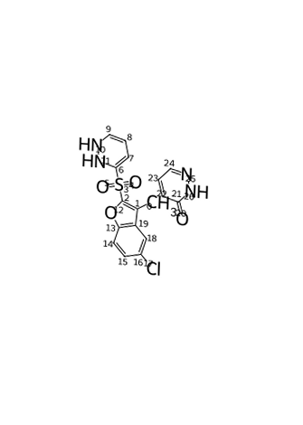 Cc1c(S(=O)(=O)C2=CC=CNN2)oc2ccc(Cl)cc12.O=c1cccn[nH]1